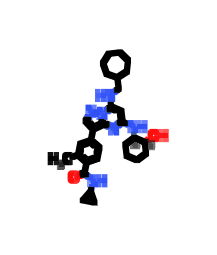 Cc1cc(-c2cnn3c(NCC4CCCCCC4)cc(N[C@H]4CCCC[C@@H]4O)nc23)ccc1C(=O)NC1CC1